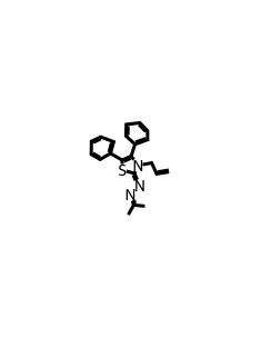 C=CCn1c(-c2ccccc2)c(-c2ccccc2)sc1=NN=C(C)C